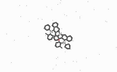 Cc1cccc(C)c1N(c1ccccc1)c1c2ccccc2cc2c1c1cccc3c4c(N(c5ccccc5)c5c(C)cccc5C)c5ccccc5cc4n2c13